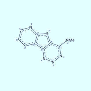 CNc1nnnc2c1sc1ncccc12